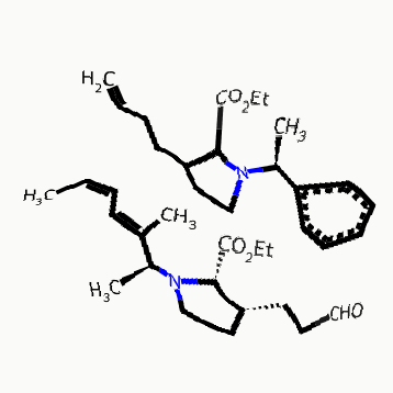 C/C=C\C=C(/C)[C@H](C)N1CC[C@@H](CCC=O)[C@H]1C(=O)OCC.C=CCCC1CCN([C@@H](C)c2ccccc2)C1C(=O)OCC